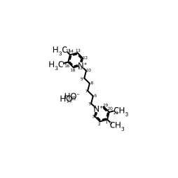 Cc1cc[n+](CCCCCC[n+]2ccc(C)c(C)c2)cc1C.[OH-].[OH-]